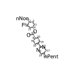 CCCCCCCCCc1ccc(OC(=O)c2ccc(-c3ncc(CCCCC)cn3)cc2)cc1F